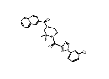 CC1(C)CN(C(=O)c2ccc3ccccc3c2)CCN1C(=O)c1ncn(-c2cccc(Cl)c2)n1